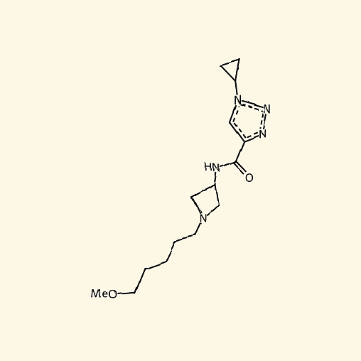 COCCCCCN1CC(NC(=O)c2cn(C3CC3)nn2)C1